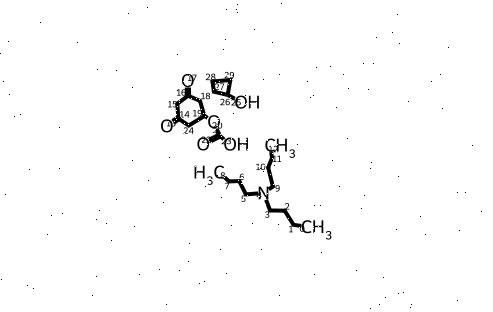 CCCCN(CCCC)CCCC.O=C1CC(=O)CC(OC(=O)O)C1.OC1CCC1